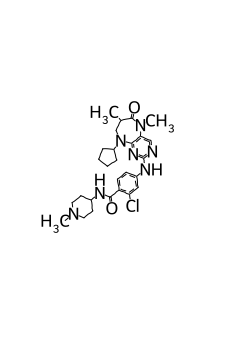 CC1CN(C2CCCC2)c2nc(Nc3ccc(C(=O)NC4CCN(C)CC4)c(Cl)c3)ncc2N(C)C1=O